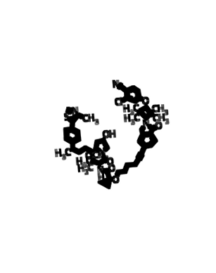 Cc1ncsc1-c1ccc([C@H](C)CCC(=O)[C@H]2C[C@@H](O)CN2C(=O)[C@@H](NC(=O)C2(OCCCCC#Cc3ccc4c(c3)CN([C@H]3C(C)(C)[C@H](Oc5ccc(C#N)c(Cl)c5)C3(C)C)C4=O)CC2)C(C)(C)C)cc1